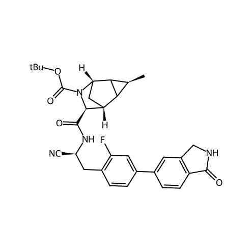 C[C@H]1C2C1[C@@H]1C[C@H]2[C@@H](C(=O)N[C@H](C#N)Cc2ccc(-c3ccc4c(c3)CNC4=O)cc2F)N1C(=O)OC(C)(C)C